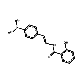 CCCN(CCC)c1ccc(C=NNC(=O)c2ccccc2O)cc1